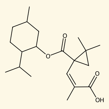 CC(=CC1(C(=O)OC2CC(C)CCC2C(C)C)CC1(C)C)C(=O)O